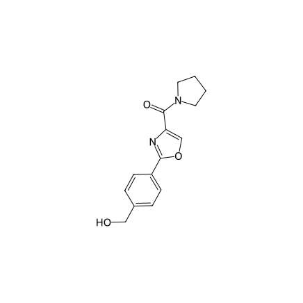 O=C(c1coc(-c2ccc(CO)cc2)n1)N1CCCC1